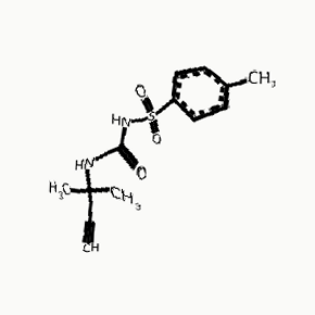 C#CC(C)(C)NC(=O)NS(=O)(=O)c1ccc(C)cc1